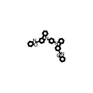 c1ccc2oc(-c3ccc4c(c3)c3ccccc3n4-c3ccc(-n4c5ccccc5c5cc(-c6nc7ccccc7o6)ccc54)cc3)nc2c1